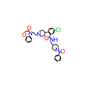 O=C(NCC1CCN(C(=O)c2ccccc2)CC1)c1cc(Cl)ccc1C1CCN(CCN2C(=O)COc3ccccc32)CC1